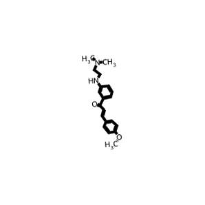 COc1ccc(C=CC(=O)c2cccc(NCCN(C)C)c2)cc1